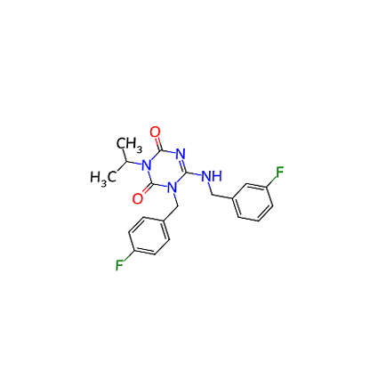 CC(C)n1c(=O)nc(NCc2cccc(F)c2)n(Cc2ccc(F)cc2)c1=O